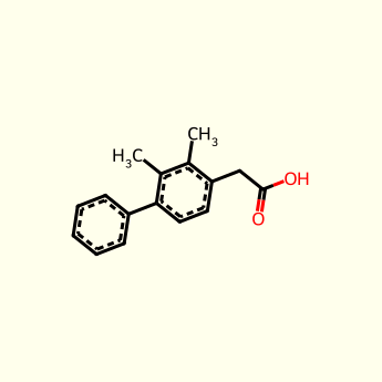 Cc1c(CC(=O)O)ccc(-c2ccccc2)c1C